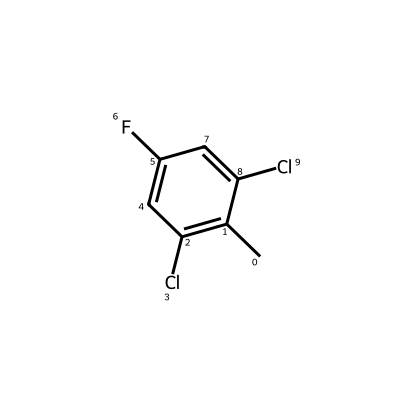 Cc1c(Cl)cc(F)cc1Cl